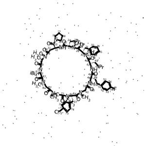 CC[C@H](C)[C@@H]1NC(=O)[C@H](C)N(C)C(=O)C[C@@H](C(=O)N2CCCC2)NC(=O)[C@H](CC(C)C)N(C)C(=O)[C@H](Cc2ccccc2)N(C)C(=O)[C@H](CC(C)C)NC(=O)[C@H](CCc2ccc(F)cc2)NC(=O)CN(C)C(=O)[C@H](Cc2ccc(Cl)cc2)N(C)C(=O)CN(C)C(=O)CN(C)C1=O